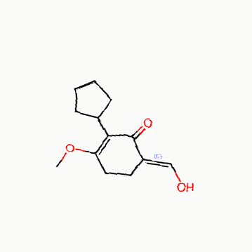 COC1=C(C2CCCC2)C(=O)/C(=C/O)CC1